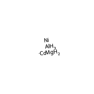 [AlH3].[Co].[MgH2].[Ni]